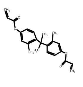 C=CC(=O)Oc1ccc(C(C)(C)c2ccc(OC(=O)C=C)cc2C)c(C)c1